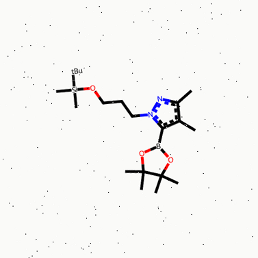 Cc1nn(CCCO[Si](C)(C)C(C)(C)C)c(B2OC(C)(C)C(C)(C)O2)c1C